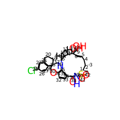 C[C@@H]1[C@@H](C)C/C=C/[C@](O)(CO)[C@@H]2CC[C@H]2CN2C[C@@]3(CCCc4cc(Cl)ccc43)COc3ccc(cc32)C(=O)NS1(=O)=O